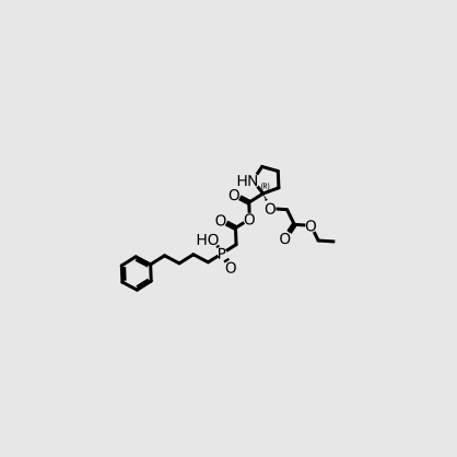 CCOC(=O)CO[C@@]1(C(=O)OC(=O)CP(=O)(O)CCCCc2ccccc2)CCCN1